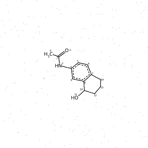 CC(=O)Nc1ccc2c(c1)C(O)CCC2